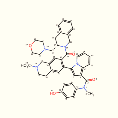 CN(C(=O)c1cc(-c2cc3c(cc2C(=O)N2Cc4ccccc4C[C@H]2CN2CCOCC2)CN(C(=O)O)CC3)n2ccccc12)c1ccc(O)cc1